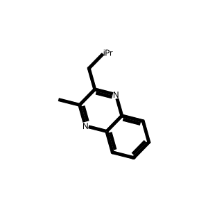 Cc1nc2ccccc2nc1CC(C)C